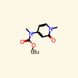 CN(C(=O)OC(C)(C)C)c1ccn(C)c(=O)c1